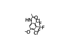 COc1cc(NC(C)=O)c(Cl)c(C(F)(F)F)c1Cl